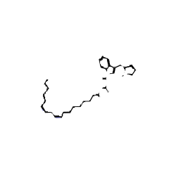 CCCCC/C=C\C/C=C\CCCCCCCC(=O)OC(C)OC(=O)n1cc(C[C@H]2CCCN2C)c2ccccc21